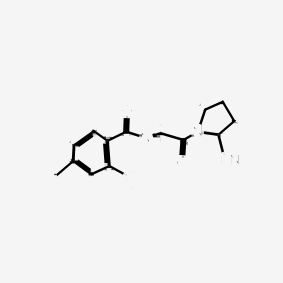 N#CC1CCCN1C(=O)CNC(=O)c1ccc(I)cc1Cl